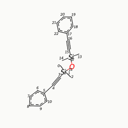 C[Si](C)(C#Cc1ccccc1)O[Si](C)(C)C#Cc1ccccc1